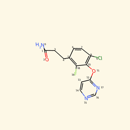 NC(=O)C[CH]c1ccc(Cl)c(Oc2ccncn2)c1F